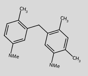 CNc1ccc(C)c(Cc2cc(NC)c(C)cc2C)c1